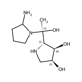 C[C@](O)([C@H]1NC[C@H](O)[C@@H]1O)N1CCCC1N